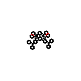 c1ccc(N2B3c4c(cc5c6c4-c4c(cccc4N(c4ccccc4)B6N(c4ccccc4)c4cc(N(c6ccccc6)c6ccccc6)ccc4-5)N3c3ccccc3)-c3ccc(N(c4ccccc4)c4ccccc4)cc32)cc1